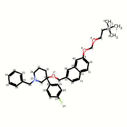 C[Si](C)(C)CCOCOc1ccc2ccc(COC3(c4ccc(F)cc4)CCCN(Cc4ccccc4)C3)cc2c1